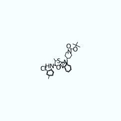 Cc1ccc(NC(=O)C(C)Sc2nc3ccccc3n2C2CCN(C(=O)OC(C)(C)C)CC2)c(Cl)c1